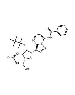 CC(C)(C)[Si](C)(C)O[C@H]1C(O[PH](=O)O)[C@@H](CO)O[C@H]1c1cnn2c(NC(=O)c3ccccc3)ncnc12